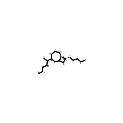 CCCCC[C@@H]1CC2CC(C(C)CCCC)CCCN21